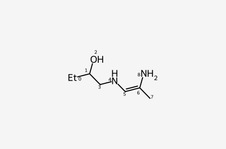 CCC(O)CNC=C(C)N